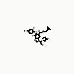 CCC(N1CCC(=O)C1)n1cnc2c(F)c(Nc3ccc(Br)cc3Cl)c(C(=O)NOCC3CC3)cc21